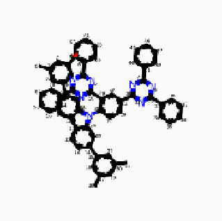 Cc1cc(C)cc(-c2ccc3c4ccc(-c5cc(C)cc(C)c5)cc4n(-c4ccc(-c5nc(-c6ccccc6)nc(-c6ccccc6)n5)cc4-c4nc(-c5ccccc5)nc(-c5ccccc5)n4)c3c2)c1